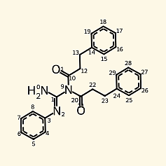 NC(=Nc1ccccc1)N(C(=O)CCc1ccccc1)C(=O)CCc1ccccc1